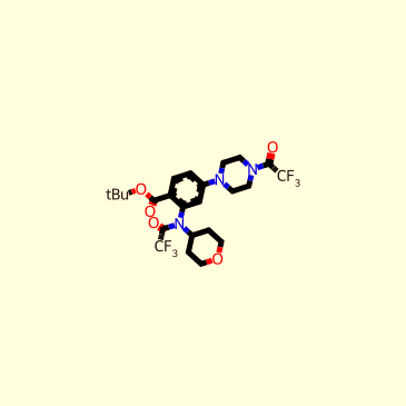 CC(C)(C)OC(=O)c1ccc(N2CCN(C(=O)C(F)(F)F)CC2)cc1N(C(=O)C(F)(F)F)C1CCOCC1